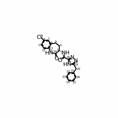 O=C(N[C@H]1CCc2cc(Cl)ccc2NC1=O)c1nnc(Cc2ccccc2)[nH]1